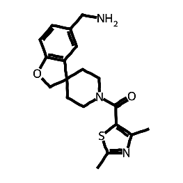 Cc1nc(C)c(C(=O)N2CCC3(CC2)COc2ccc(CN)cc23)s1